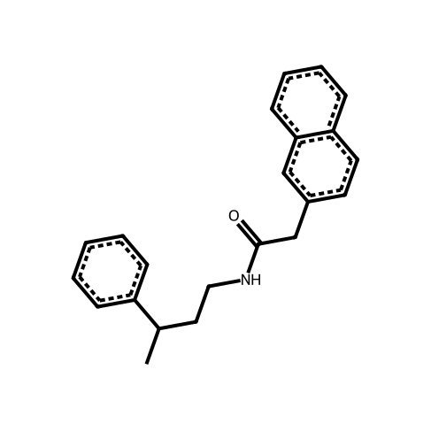 CC(CCNC(=O)Cc1ccc2ccccc2c1)c1ccccc1